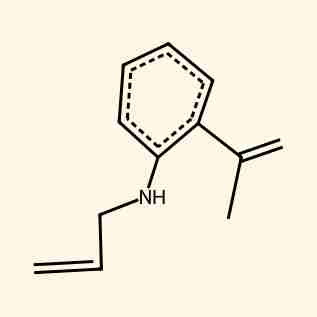 C=CCNc1ccccc1C(=C)C